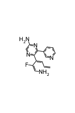 C=C/C=C(\C(F)=C/N)c1ncc(N)nc1-c1cccnc1